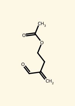 C=C(C=O)CCOC(C)=O